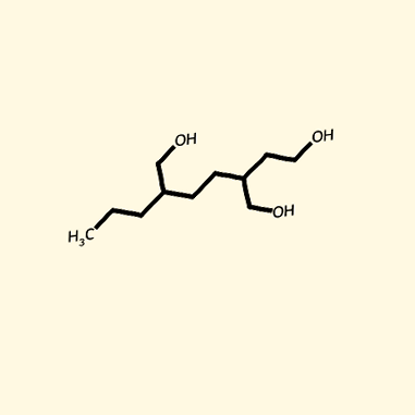 CCCC(CO)CCC(CO)CCO